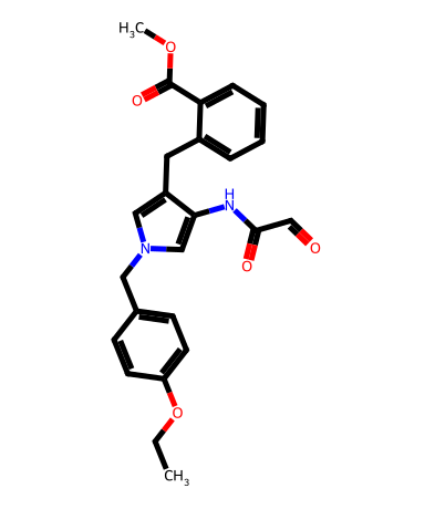 CCOc1ccc(Cn2cc(Cc3ccccc3C(=O)OC)c(NC(=O)C=O)c2)cc1